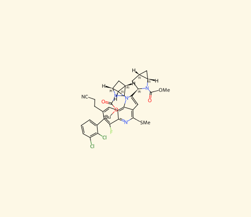 COC(=O)N1[C@@H](c2cc3c(SC)nc4c(F)c(-c5cccc(Cl)c5Cl)c(CCC#N)cc4c3n2[C@H]2[C@@H]3C[C@H]2N(C(=O)OC(C)(C)C)C3)C[C@@H]2C[C@@H]21